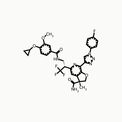 COc1cc(C(=O)NC[C@H](c2cc3c(c(-c4cn(-c5ccc(F)cc5)nn4)n2)OC[C@]3(C)C(N)=O)C(F)(F)F)ccc1OC1CC1